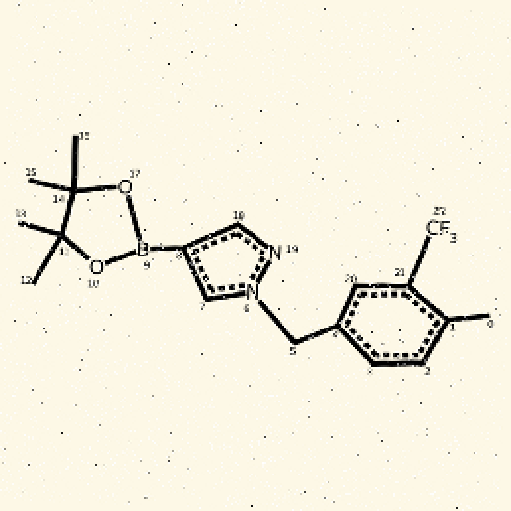 Cc1ccc(Cn2cc(B3OC(C)(C)C(C)(C)O3)cn2)cc1C(F)(F)F